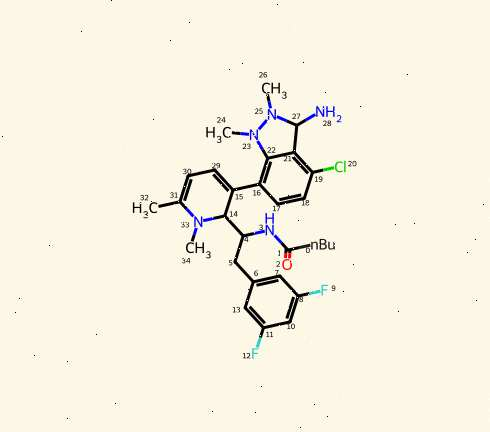 CCCCC(=O)NC(Cc1cc(F)cc(F)c1)C1C(c2ccc(Cl)c3c2N(C)N(C)C3N)=CC=C(C)N1C